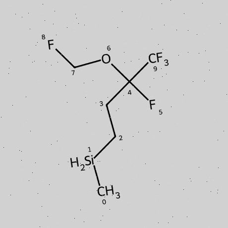 C[SiH2]CCC(F)(OCF)C(F)(F)F